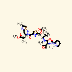 COC(=O)[C@@H](C)C[C@H](Cc1nc(C)cs1)NC(=O)c1csc([C@@H](C[C@H](C(C)C)N(C)C(=O)[C@@H](NC(=O)[C@H]2CCCCN2C)C2COC2)OC(C)=O)n1